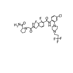 NC(=O)[C@@H]1CCCN1CC(=O)NCc1ccc(C(=O)Nc2ccc(Cl)cc2N2CCN(CCC(F)(F)F)CC2)c(F)c1F